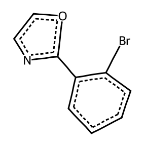 Brc1ccccc1-c1ncco1